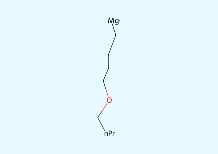 CCCCOCCC[CH2][Mg]